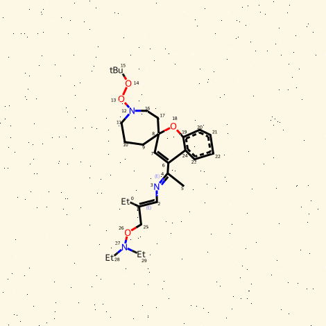 CC/C(=C\N=C(/C)C1=CC2(CCCN(OOC(C)(C)C)CC2)Oc2ccccc21)CON(CC)CC